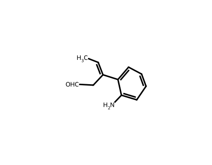 C/C=C(\CC=O)c1ccccc1N